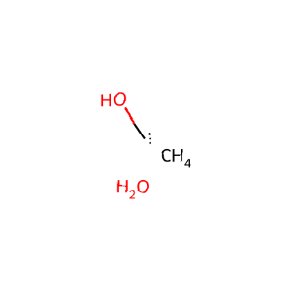 C.O.[C]O